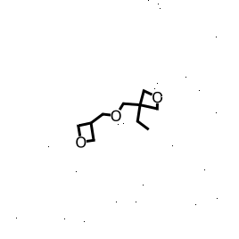 CCC1(COCC2COC2)COC1